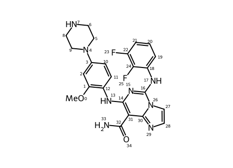 COc1cc(N2CCNCC2)ccc1Nc1nc(Nc2cccc(F)c2F)n2ccnc2c1C(N)=O